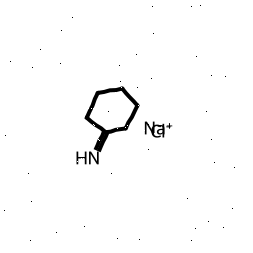 N=C1CCCCC1.[Cl-].[Na+]